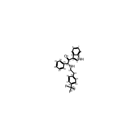 O=C(c1c[nH]c2ccccc12)[C@H](NCCc1ccc(C(F)(F)F)cc1)c1ccccc1